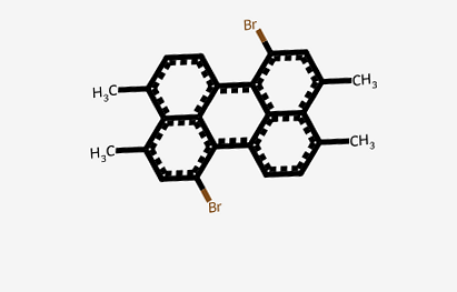 Cc1ccc2c3c(Br)cc(C)c4c(C)ccc(c5c(Br)cc(C)c1c25)c43